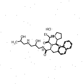 CCC(CC)C(=O)N(C(=O)C1CCCN1)[C@@H](Cc1ccc2ccccc2c1)C(=O)NCC(O)CNCC(C)O.Cl